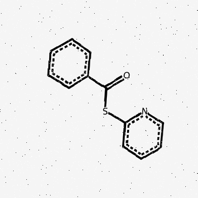 O=C(Sc1ccccn1)c1ccccc1